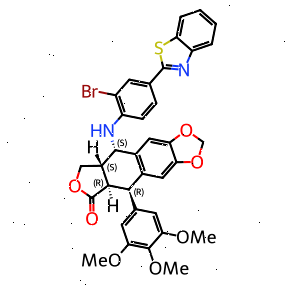 COc1cc([C@@H]2c3cc4c(cc3[C@@H](Nc3ccc(-c5nc6ccccc6s5)cc3Br)[C@H]3COC(=O)[C@H]23)OCO4)cc(OC)c1OC